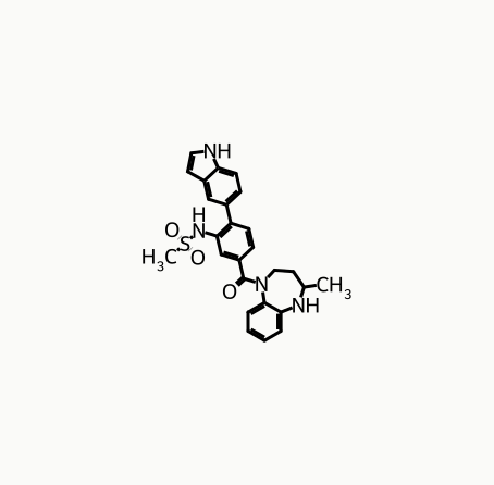 CC1CCN(C(=O)c2ccc(-c3ccc4[nH]ccc4c3)c(NS(C)(=O)=O)c2)c2ccccc2N1